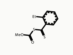 CCc1ccccc1C(=S)SC(=O)OC